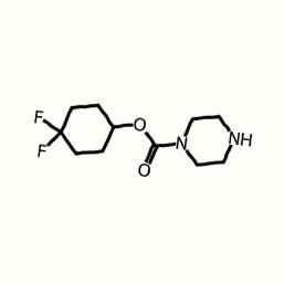 O=C(OC1CCC(F)(F)CC1)N1CCNCC1